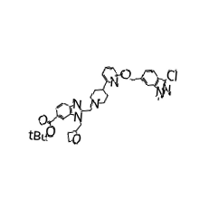 Cn1nc(Cl)c2ccc(COc3cccc(C4CCN(Cc5nc6ccc(C(=O)OC(C)(C)C)cc6n5CC5CCO5)CC4)n3)cc21